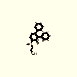 CN(CCO)c1ccc(-c2ccccc2)c(-c2ccccc2)c1F